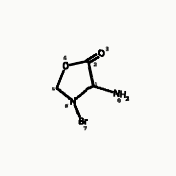 NC1C(=O)OCN1Br